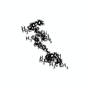 Cc1n[nH]c(Nc2ncnc3cc(OCCCC4CCN(c5ncc(C(=O)N6CCN(C[C@H]7CN(C(=O)OC(C)(C)C)[C@H](C)CN7CC(=O)N7CC(C)(C)c8ncc(Cc9ccc(F)cc9)cc87)C(C)C6)cn5)CC4)c(S(=O)(=O)C(C)(C)C)cc23)c1C